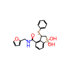 O=C(NCc1ccco1)c1cccc2c1C(Sc1ccccc1)CS2(O)O